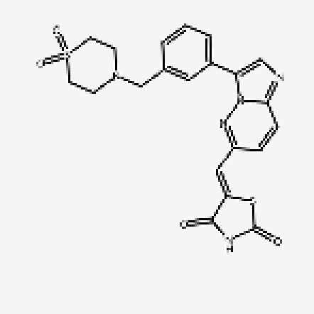 O=C1NC(=O)/C(=C/c2ccc3ncc(-c4cccc(CN5CCS(=O)(=O)CC5)c4)n3n2)S1